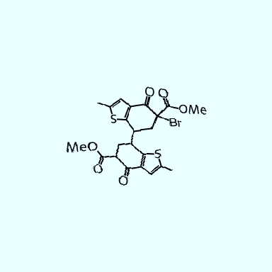 COC(=O)C1CC(C2CC(Br)(C(=O)OC)C(=O)c3cc(C)sc32)c2sc(C)cc2C1=O